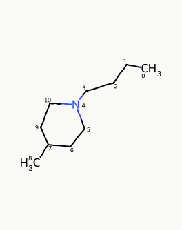 CCCCN1CCC(C)CC1